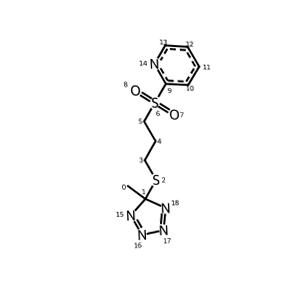 CC1(SCCCS(=O)(=O)c2ccccn2)N=NN=N1